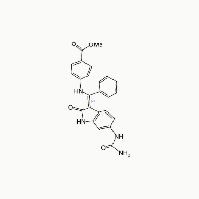 COC(=O)c1ccc(N/C(=C2\C(=O)Nc3cc(NC(N)=O)ccc32)c2ccccc2)cc1